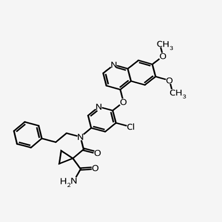 COc1cc2nccc(Oc3ncc(N(CCc4ccccc4)C(=O)C4(C(N)=O)CC4)cc3Cl)c2cc1OC